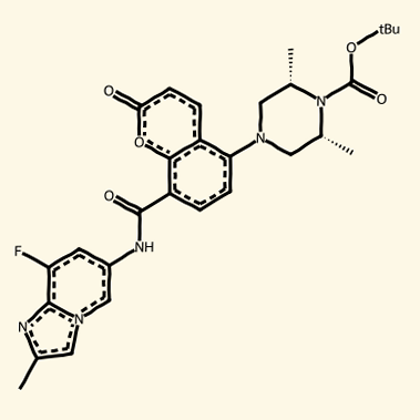 Cc1cn2cc(NC(=O)c3ccc(N4C[C@@H](C)N(C(=O)OC(C)(C)C)[C@@H](C)C4)c4ccc(=O)oc34)cc(F)c2n1